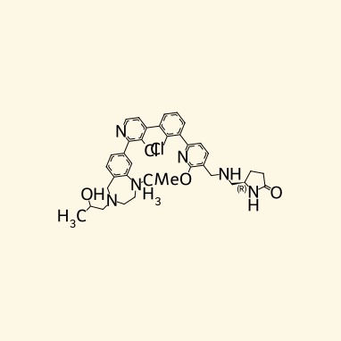 COc1nc(-c2cccc(-c3ccnc(-c4ccc5c(c4)N(C)CCN(CC(C)O)C5)c3Cl)c2Cl)ccc1CNC[C@H]1CCC(=O)N1